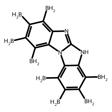 Bc1c(B)c(B)c2c(nc3[nH]c4c(B)c(B)c(B)c(B)c4n32)c1B